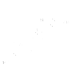 CCC1CCc2nc(C(=O)N[C@H](C=O)COc3ccccc3N(C)C)nn21